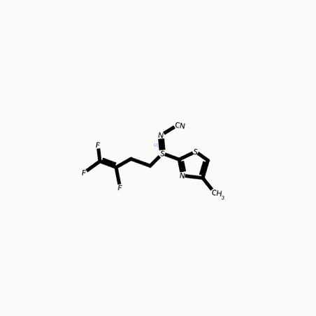 Cc1csc(/S(CCC(F)=C(F)F)=N\C#N)n1